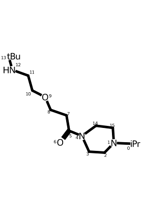 CC(C)N1CCN(C(=O)CCOCCNC(C)(C)C)CC1